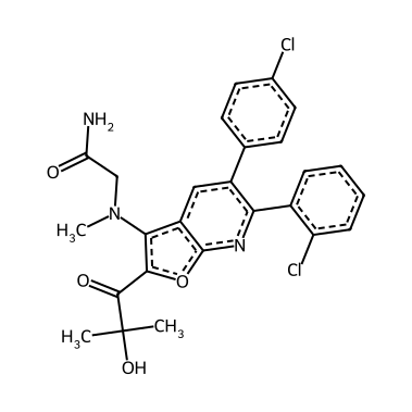 CN(CC(N)=O)c1c(C(=O)C(C)(C)O)oc2nc(-c3ccccc3Cl)c(-c3ccc(Cl)cc3)cc12